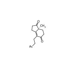 CC(=O)CCC1=C2CCC(=O)[C@@]2(C)CCC1=O